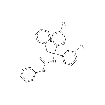 O=C(Nc1ccccc1)NC(Cc1ccccc1)(c1cccc(C(F)(F)F)c1)c1ccc(C(F)(F)F)cn1